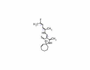 C=C(NC1(CC)C=CCCCC1)/C(C=S)=C/N/C(C)=C/C=C(\C)F